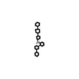 CN(c1ccc(-c2ccc(-c3ccccc3)cc2)cc1)c1ccccc1-c1cccc(-c2ccccc2)c1